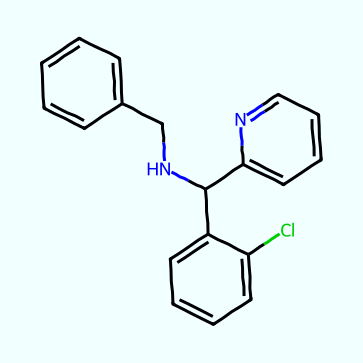 Clc1ccccc1C(NCc1ccccc1)c1ccccn1